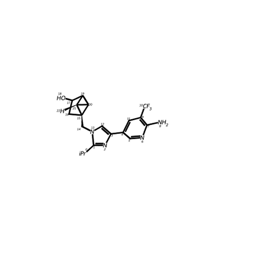 CC(C)c1nc(-c2cnc(N)c(C(F)(F)F)c2)cn1C[C@]12CC(O)C3C1[C@@H]32